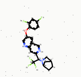 Fc1ccc(Oc2cnc3cc(C(N4CC5CCC4C5)C(F)(F)F)ncc3c2)c(F)c1